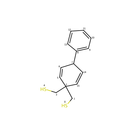 SCC1(CS)C=CC(c2ccccc2)C=C1